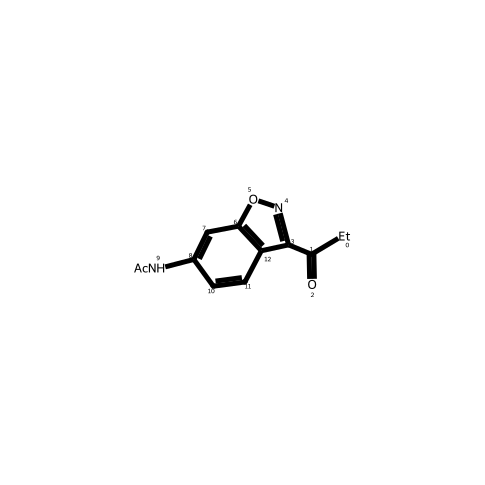 CCC(=O)c1noc2cc(NC(C)=O)ccc12